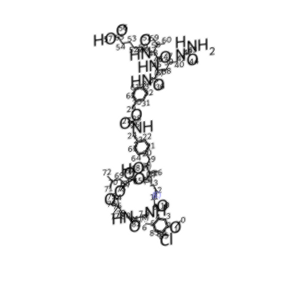 COc1ccc(C[C@H]2NC(=O)/C=C/C[C@@H]([C@H](C)[C@H](O)Cc3ccc(CNC(=O)OCc4ccc(NC(=O)[C@H](CCCNC(N)=O)NC(=O)C(NC(=O)CCCC(=O)O)C(C)C)cc4)cc3)OC(=O)[C@H](CC(C)C)OC(=O)C(C)(C)CNC2=O)cc1Cl